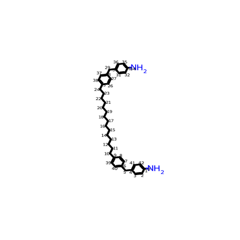 Nc1ccc(Cc2ccc(CCCCCCCCCCCCCCCc3ccc(Cc4ccc(N)cc4)cc3)cc2)cc1